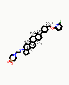 CC1(C)C(C2=CC[C@@](COc3cccc(F)n3)(C(=O)O)CC2)=CC[C@@]2(C)C1CC[C@]1(C)C2CC[C@@H]2[C@H]3CCC[C@]3(NCCN3CCS(=O)(=O)CC3)CC[C@]21C